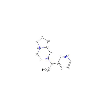 O=C(O)C(c1cccnc1)N1CCN2CCCC2C1